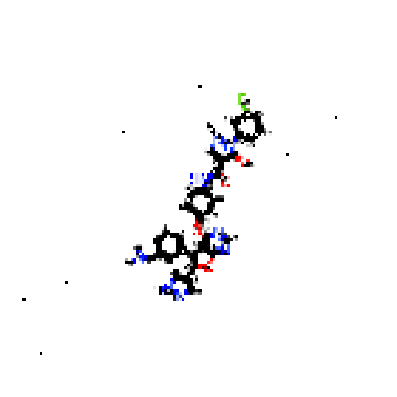 CN(C)Cc1cccc(-c2c(-c3cnn(C)c3)oc3ncnc(Oc4ccc(NC(=O)c5cn(C)n(-c6cccc(F)c6)c5=O)cc4)c23)c1